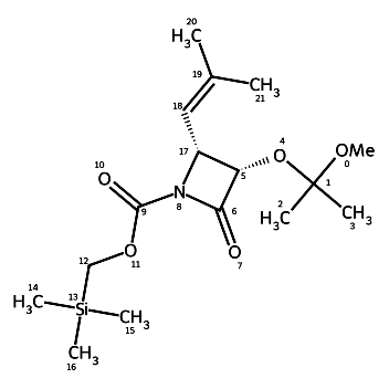 COC(C)(C)O[C@@H]1C(=O)N(C(=O)OC[Si](C)(C)C)[C@@H]1C=C(C)C